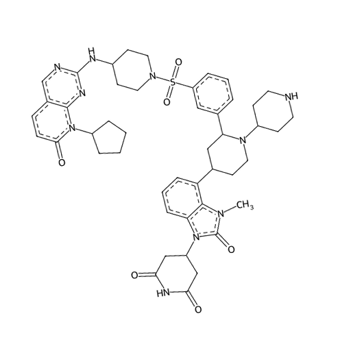 Cn1c(=O)n(C2CC(=O)NC(=O)C2)c2cccc(C3CCN(C4CCNCC4)C(c4cccc(S(=O)(=O)N5CCC(Nc6ncc7ccc(=O)n(C8CCCC8)c7n6)CC5)c4)C3)c21